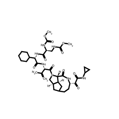 C=C(C)[C@H](NC(=O)[C@@H](NC(=O)[C@H](CNC(=O)OC)NC(=O)OC)C1CCCCC1)C(=O)N1C[C@@H]2CC3CC[C@@H](C(=O)C(=O)NC4CC4)NC(=O)[C@@H]1[C@H]2C3